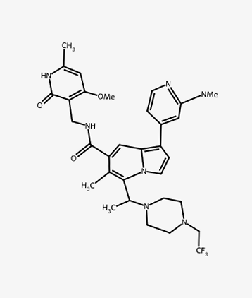 CNc1cc(-c2ccn3c(C(C)N4CCN(CC(F)(F)F)CC4)c(C)c(C(=O)NCc4c(OC)cc(C)[nH]c4=O)cc23)ccn1